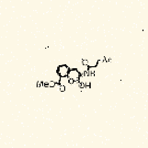 COC(=O)c1cccc2c1OB(O)[C@@H](NC(=O)CCC(C)=O)C2